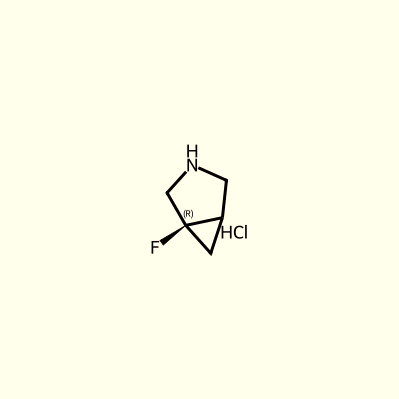 Cl.F[C@@]12CNCC1C2